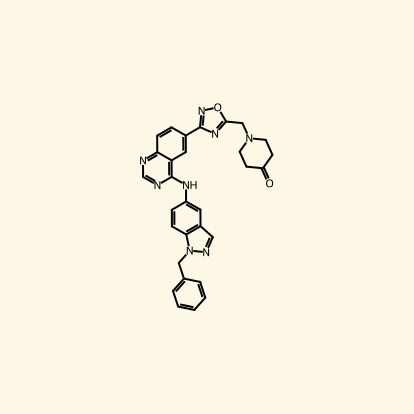 O=C1CCN(Cc2nc(-c3ccc4ncnc(Nc5ccc6c(cnn6Cc6ccccc6)c5)c4c3)no2)CC1